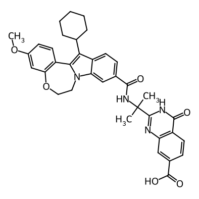 COc1ccc2c(c1)OCCn1c-2c(C2CCCCC2)c2ccc(C(=O)NC(C)(C)c3nc4cc(C(=O)O)ccc4c(=O)[nH]3)cc21